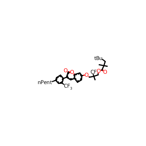 CCCCCc1ccc(-c2cc3ccc(OCC(C)(COC(=O)C(C)(C)CC(C)(C)C)C(F)(F)F)cc3oc2=O)c(C(F)(F)F)c1